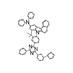 CC1(C)c2cc(-c3nc(-c4ccccc4)nc(-c4cccc(-c5ccccc5)c4)n3)ccc2-n2c3ccc4ccccc4c3c3cc(N(c4ccccc4)c4ccccc4)cc1c32